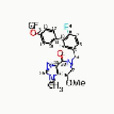 COCCN(Cc1ccc(F)c(-c2ccc(OC(F)(F)F)cc2)c1)C(=O)c1cn(C)cn1